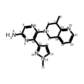 CC1CN(c2ncc(N)nc2-c2ccn(C)n2)Cc2cccnc21